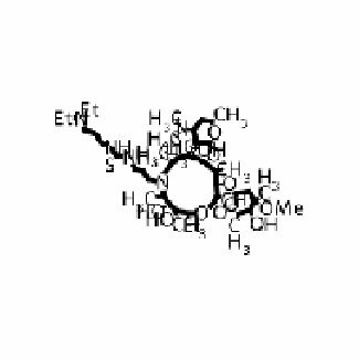 CC[C@H]1OC(=O)[C@H](C)[C@@H](O[C@H]2C[C@@](C)(OC)[C@@H](O)[C@H](C)O2)[C@H](C)[C@@H](O[C@@H]2O[C@H](C)C[C@H](N(C)C)[C@H]2O)[C@](C)(O)C[C@@H](C)CN(CCCNC(=S)NCCCN(CC)CC)[C@H](C)[C@@H](O)[C@]1(C)O